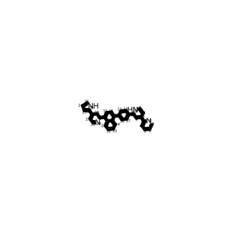 C1=CC(c2ccccn2)=CC(c2ccc(-c3ccc(C4CC(c5ccc[nH]5)=CC=N4)c4ccccc34)cc2)N1